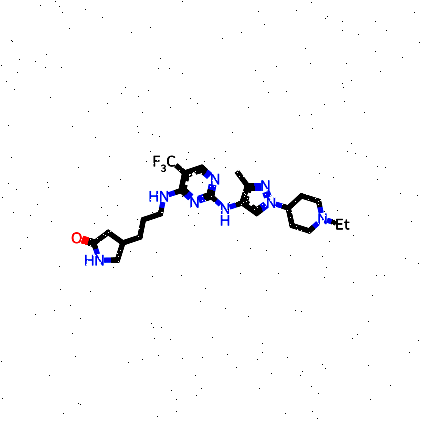 CCN1CCC(n2cc(Nc3ncc(C(F)(F)F)c(NCCCC4CNC(=O)C4)n3)c(C)n2)CC1